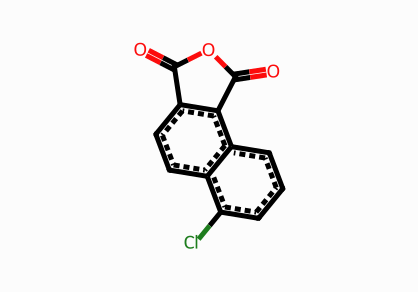 O=C1OC(=O)c2c1ccc1c(Cl)cccc21